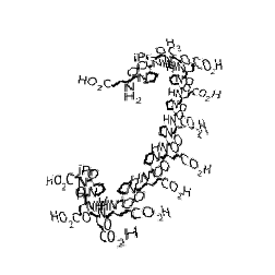 CC(C)[C@H](NC(=O)[C@@H]1CCCN1C(=O)[C@H](CCC(=O)O)NC(=O)[C@H](CCC(=O)O)NC(=O)[C@H](CCC(=O)O)NC(=O)[C@@H]1CCCN1C(=O)[C@H](CCC(=O)O)NC(=O)[C@@H]1CCCN1C(=O)[C@H](CCC(=O)O)NC(=O)[C@@H]1CCCN1C(=O)[C@H](CC(=O)O)NC(=O)[C@@H]1CCCN1C(=O)[C@H](CCC(=O)O)NC(=O)[C@@H]1CCCN1C(=O)[C@H](CCC(=O)O)NC(=O)[C@H](C)NC(=O)[C@@H](NC(=O)[C@@H]1CCCN1C(=O)[C@@H](N)CCC(=O)O)C(C)C)C(=O)O